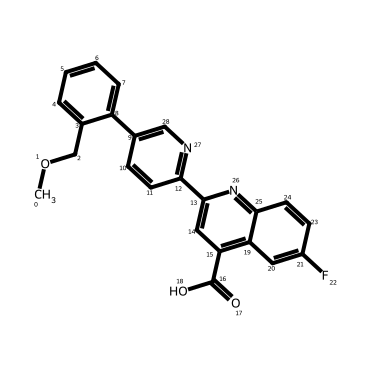 COCc1ccccc1-c1ccc(-c2cc(C(=O)O)c3cc(F)ccc3n2)nc1